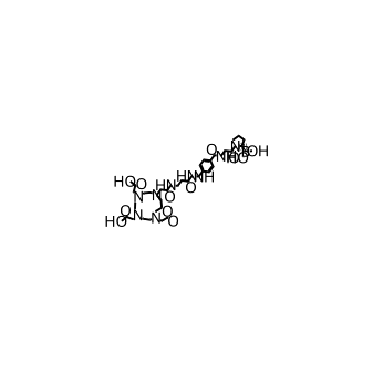 O=C(O)CN1CCN(CC(=O)O)CCN2CC(=O)OC(CN(CC(=O)NCCC(=O)NNc3ccc(C(=O)NCC(=O)N4CCC[C@H]4B(O)O)cc3)CC1)C2